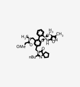 CCCCC1=NC2(CCCC2)C(=O)N1Cc1ccc(-c2ccccc2S(=O)(=O)Nc2onc(C)c2C)c(CN(C)C(=O)COC)c1